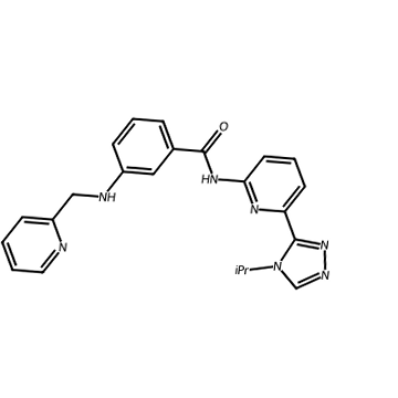 CC(C)n1cnnc1-c1cccc(NC(=O)c2cccc(NCc3ccccn3)c2)n1